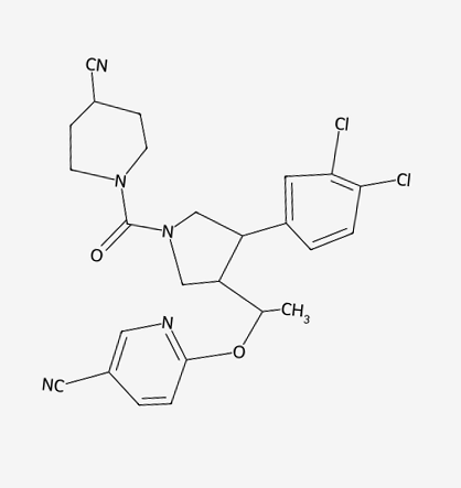 CC(Oc1ccc(C#N)cn1)C1CN(C(=O)N2CCC(C#N)CC2)CC1c1ccc(Cl)c(Cl)c1